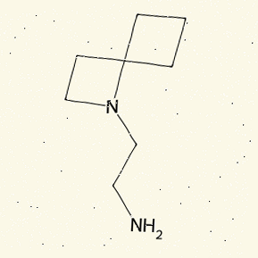 NCCN1CCC12CCC2